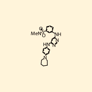 CNS(=O)(=O)c1cccc(Nc2cc(Nc3ccc(N4CCCCC4)cc3)ncn2)c1